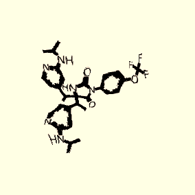 CC(C)Nc1cc(C(C)C2(C(C)c3ccnc(NC(C)C)c3)NC(=O)N(c3ccc(OC(F)(F)F)cc3)C2=O)ccn1